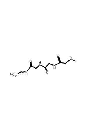 O=C(O)CNC(=O)CNC(=O)CNC(=O)CNF